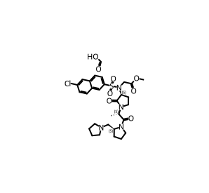 COC(=O)CN([C@H]1CCN([C@@H](C)C(=O)N2CCC[C@H]2CN2CCCC2)C1=O)S(=O)(=O)c1ccc2cc(Cl)ccc2c1.O=CO